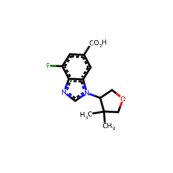 CC1(C)COCC1n1cnc2c(F)cc(C(=O)O)cc21